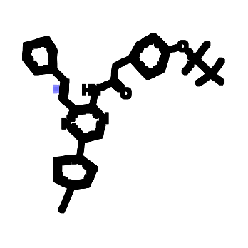 Cc1ccc(-c2cnc(NC(=O)Cc3ccc(O[Si](C)(C)C(C)(C)C)cc3)c(/C=C/c3ccccc3)n2)cc1